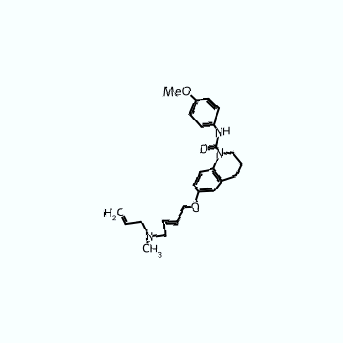 C=CCN(C)CC=CCOc1ccc2c(c1)CCCN2C(=O)Nc1ccc(OC)cc1